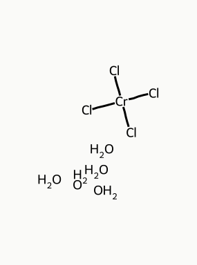 O.O.O.O.O.[Cl][Cr]([Cl])([Cl])[Cl]